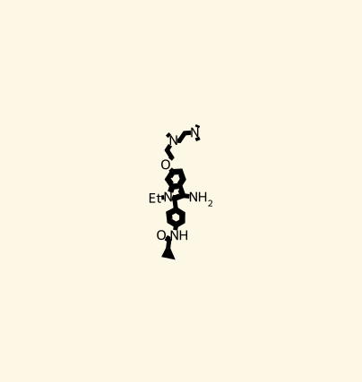 CCn1c(-c2ccc(NC(=O)C3CC3)cc2)c(N)c2ccc(OCCN(C)CCN(C)C)cc21